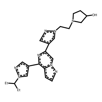 CCC(CC)n1cc(-c2nc(-c3cnn(CCN4CCC(O)C4)c3)cn3nccc23)cn1